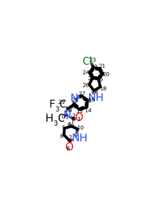 CN(C(=O)[C@H]1CCC(=O)NC1)[C@@H](c1ccc(N[C@H]2Cc3ccc(Cl)cc3C2)cn1)C(F)(F)F